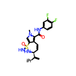 C=C(C(C)C)[C@@H]1C=Cc2c(cn(C)c2C(=O)Nc2ccc(F)c(F)c2)S(=N)(=O)N1